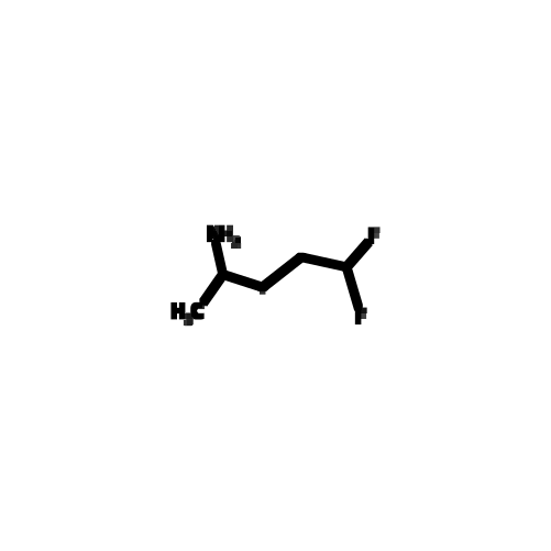 CC(N)[CH]CC(F)F